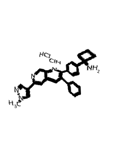 Cl.Cl.Cn1cc(-c2cc3cc(-c4ccccc4)c(-c4ccc(C5(N)CCC5)cc4)nc3cn2)cn1